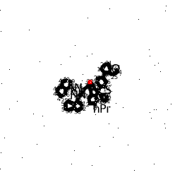 CCCc1ccc2c(c1)C1(c3ccccc3Sc3cc(-c4cccc5occc45)ccc31)c1cccc(-c3nc(-c4cccc5ccccc45)nc(-c4cccc5ccccc45)n3)c1-2